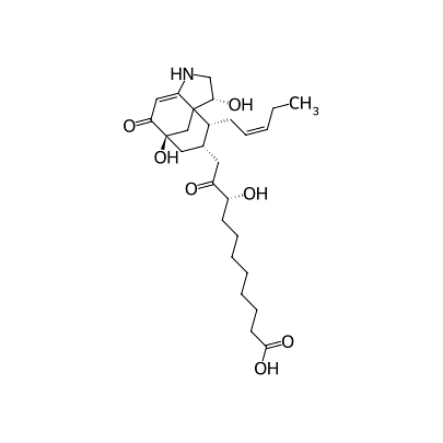 CC/C=C\C[C@@H]1[C@H](CC(=O)[C@H](O)CCCCCCCC(=O)O)C[C@@]2(O)CC13C(=CC2=O)NC[C@@H]3O